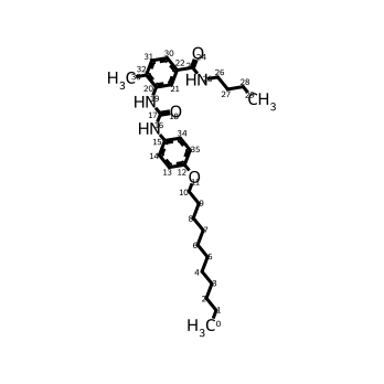 CCCCCCCCCCCOc1ccc(NC(=O)Nc2cc(C(=O)NCCCC)ccc2C)cc1